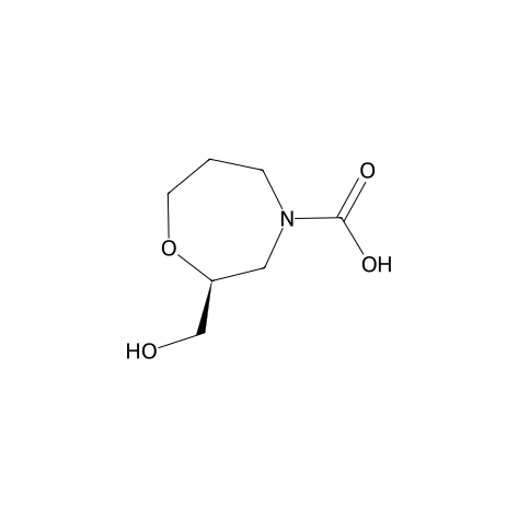 O=C(O)N1CCCO[C@H](CO)C1